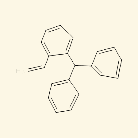 C=Cc1ccccc1[C](c1ccccc1)c1ccccc1